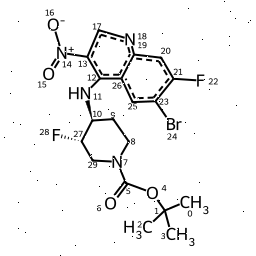 CC(C)(C)OC(=O)N1CC[C@H](Nc2c([N+](=O)[O-])cnc3cc(F)c(Br)cc23)[C@@H](F)C1